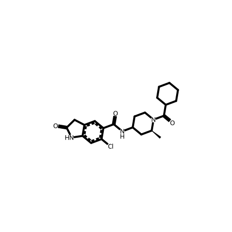 C[C@H]1CC(NC(=O)c2cc3c(cc2Cl)NC(=O)C3)CCN1C(=O)C1CCCCC1